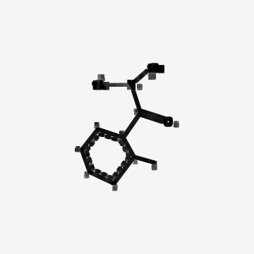 Cc1ccccc1C(=O)N(C(C)(C)C)C(C)(C)C